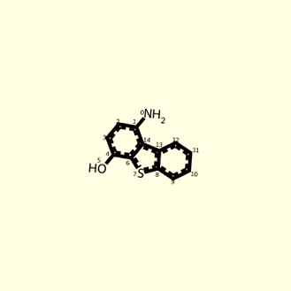 Nc1ccc(O)c2sc3ccccc3c12